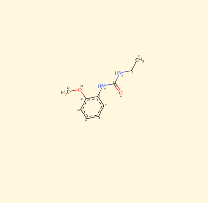 CCNC(=O)Nc1cc[c]cc1OC